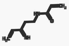 C=CC(=N)CCNC(=O)C=C